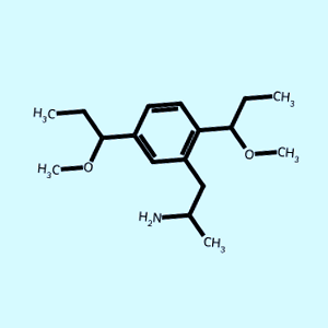 CCC(OC)c1ccc(C(CC)OC)c(CC(C)N)c1